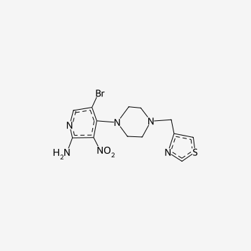 Nc1ncc(Br)c(N2CCN(Cc3cscn3)CC2)c1[N+](=O)[O-]